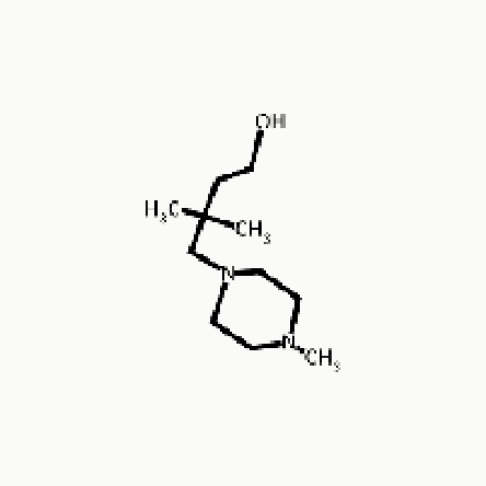 CN1CCN(CC(C)(C)CCO)CC1